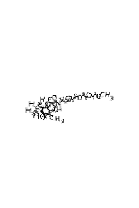 COCCOCCOCCOCCNC(=O)C1(C)CCc2c(C)c(O)c(C)c(C)c2O1